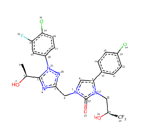 C[C@H](O)c1nc(Cn2cc(-c3ccc(Cl)cc3)n(C[C@H](O)C(F)(F)F)c2=O)nn1-c1ccc(Cl)c(F)c1